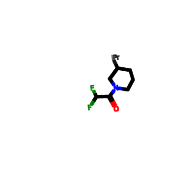 CC(C)C1CCCN(C(=O)C(F)F)C1